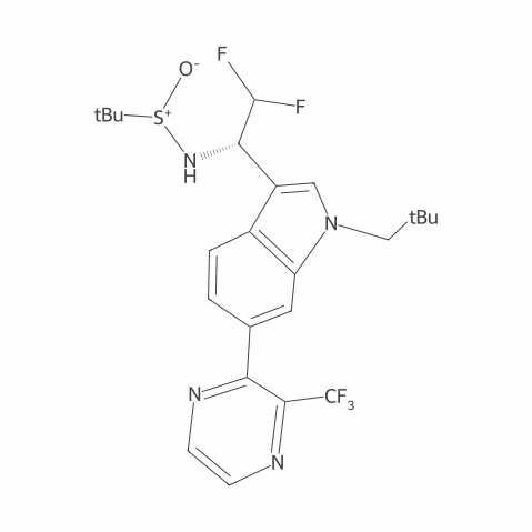 CC(C)(C)Cn1cc([C@H](N[S+]([O-])C(C)(C)C)C(F)F)c2ccc(-c3nccnc3C(F)(F)F)cc21